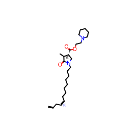 C=CC/C=C\CCCCCCCCN1C[C@@H](C(=O)OCCN2CCCCC2)C(C)C1=O